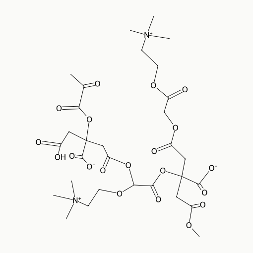 COC(=O)CC(CC(=O)OCC(=O)OCC[N+](C)(C)C)(OC(=O)C(OCC[N+](C)(C)C)OC(=O)CC(CC(=O)O)(OC(=O)C(C)=O)C(=O)[O-])C(=O)[O-]